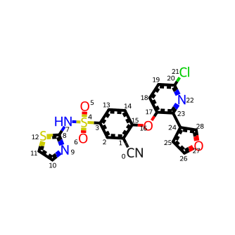 N#Cc1cc(S(=O)(=O)Nc2nccs2)ccc1Oc1ccc(Cl)nc1-c1ccoc1